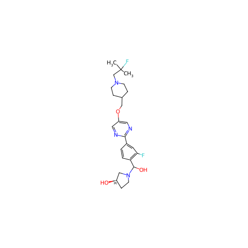 CC(C)(F)CN1CCC(COc2cnc(-c3ccc(C(O)N4CC[C@@H](O)C4)c(F)c3)nc2)CC1